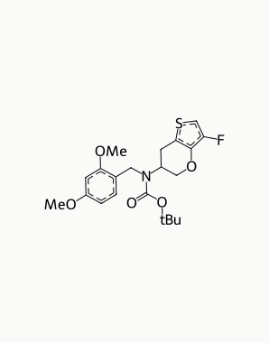 COc1ccc(CN(C(=O)OC(C)(C)C)C2COc3c(F)csc3C2)c(OC)c1